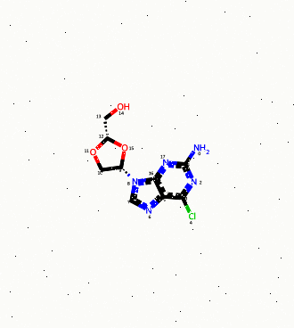 Nc1nc(Cl)c2ncn([C@@H]3CO[C@H](CO)O3)c2n1